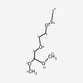 COC(COCCOSI)OC